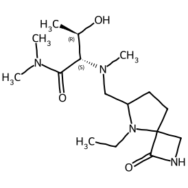 CCN1C(CN(C)[C@H](C(=O)N(C)C)[C@@H](C)O)CCC12CNC2=O